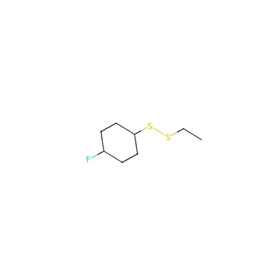 CCSSC1CCC(F)CC1